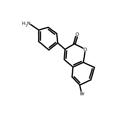 Nc1ccc(-c2cc3cc(Br)ccc3oc2=O)cc1